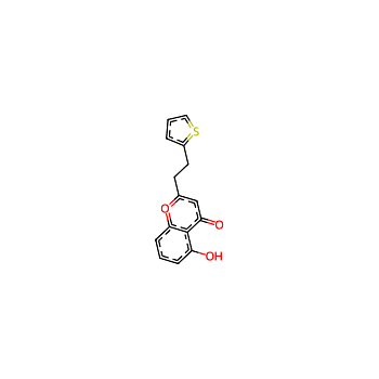 O=c1cc(CCc2cccs2)oc2cccc(O)c12